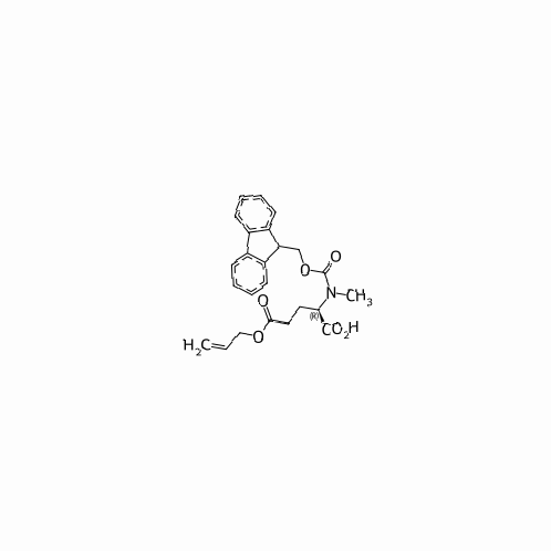 C=CCOC(=O)CC[C@H](C(=O)O)N(C)C(=O)OCC1c2ccccc2-c2ccccc21